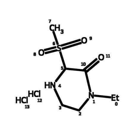 CCN1CCNC(S(C)(=O)=O)C1=O.Cl.Cl